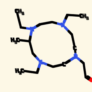 CCN1CCN(CC=O)CCN(CC)CC(C)N(CC)CC1